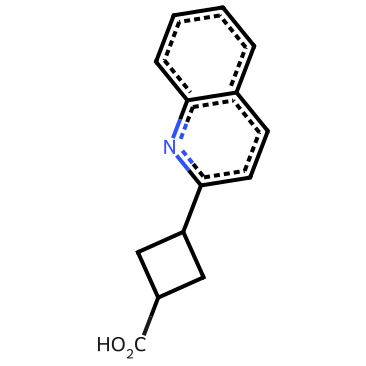 O=C(O)C1CC(c2ccc3ccccc3n2)C1